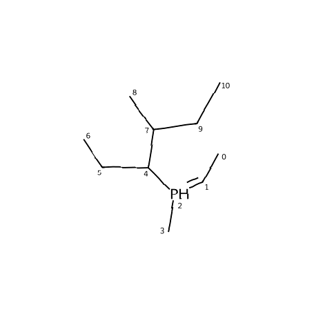 C/C=[PH](/C)C(CC)C(C)CC